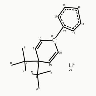 CC(C)(C)C1(C(C)(C)C)C=C[C-](c2ccccc2)C=C1.[Li+]